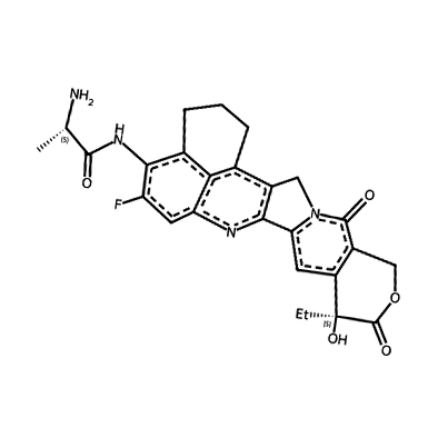 CC[C@@]1(O)C(=O)OCc2c1cc1n(c2=O)Cc2c-1nc1cc(F)c(NC(=O)[C@H](C)N)c3c1c2CCC3